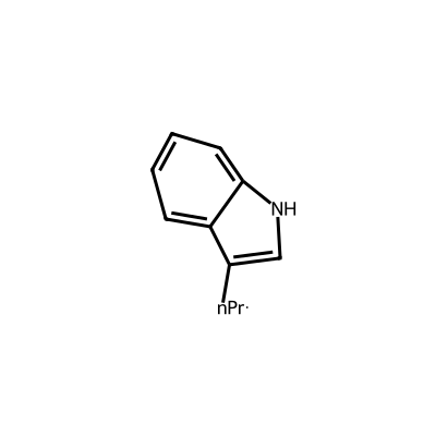 CC[CH]c1c[nH]c2ccccc12